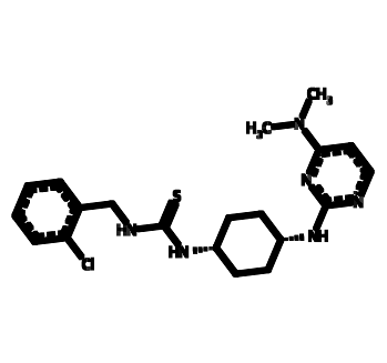 CN(C)c1ccnc(N[C@H]2CC[C@@H](NC(=S)NCc3ccccc3Cl)CC2)n1